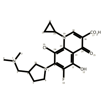 CN(C)CC1CCN(c2c(F)c(O)c3c(=O)c(C(=O)O)cn(C4CC4)c3c2Cl)C1